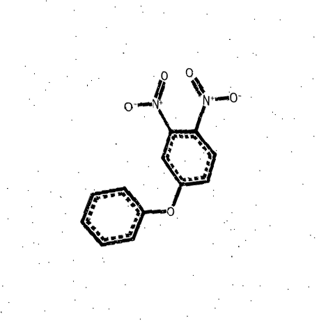 O=[N+]([O-])c1ccc(Oc2ccccc2)cc1[N+](=O)[O-]